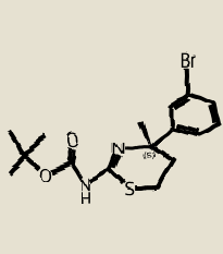 CC(C)(C)OC(=O)NC1=N[C@](C)(c2cccc(Br)c2)CCS1